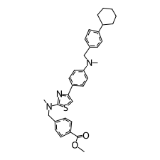 COC(=O)c1ccc(CN(C)c2nc(-c3ccc(N(C)Cc4ccc(C5CCCCC5)cc4)cc3)cs2)cc1